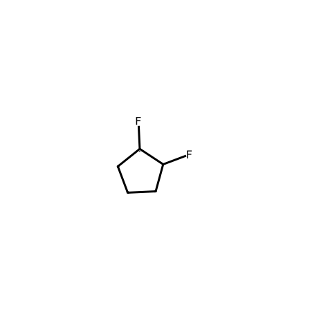 F[C]1CCCC1F